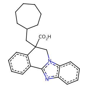 O=C(O)C1(CC2CCCCCC2)Cn2c(nc3ccccc32)-c2ccccc21